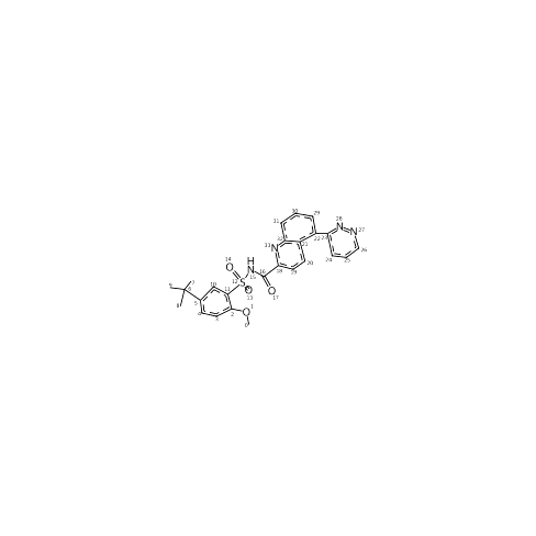 COc1ccc(C(C)(C)C)cc1S(=O)(=O)NC(=O)c1ccc2c(-c3cccnn3)cccc2n1